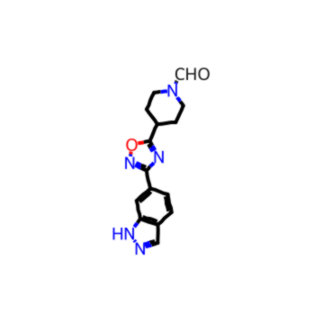 O=CN1CCC(c2nc(-c3ccc4cn[nH]c4c3)no2)CC1